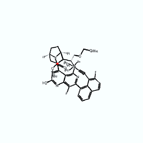 COCOC[C@@H]1Oc2nc(-c3cccc4ccc(F)c(C#C[Si](C(C)C)(C(C)C)C(C)C)c34)c(F)c3nc(O)nc(c23)N2C[C@H]3CC[C@@H]([C@@H]12)N3C(=O)OC(C)(C)C